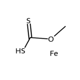 COC(=S)S.[Fe]